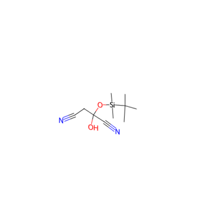 CC(C)(C)[Si](C)(C)OC(O)(C#N)CC#N